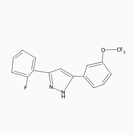 Fc1ccccc1-c1cc(-c2cccc(OC(F)(F)F)c2)[nH]n1